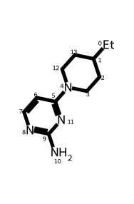 [CH2]CC1CCN(c2ccnc(N)n2)CC1